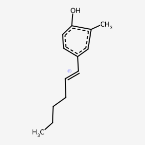 CCCC/C=C/c1ccc(O)c(C)c1